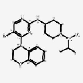 CC(C)[S+]([O-])N1CCC(Nc2ncc(Br)c(N3CCOc4ccccc43)n2)CC1